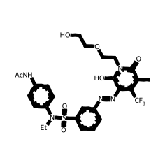 CCN(c1ccc(NC(C)=O)cc1)S(=O)(=O)c1cccc(/N=N/c2c(C(F)(F)F)c(C)c(=O)n(CCOCCO)c2O)c1